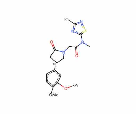 COc1ccc([C@@H]2CC(=O)N(CC(=O)N(C)c3nc(C(C)C)ns3)C2)cc1OC(C)C